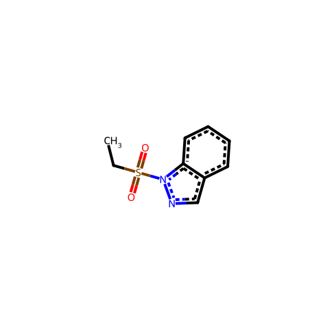 CCS(=O)(=O)n1ncc2ccccc21